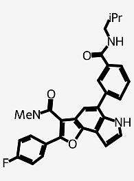 CNC(=O)c1c(-c2ccc(F)cc2)oc2c1cc(-c1cccc(C(=O)NCC(C)C)c1)c1[nH]ccc12